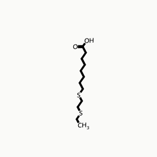 CCSCCSCCCCCCCC(=O)O